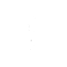 CC(=O)c1nnc(CNC(=O)C(C)(C)C)s1